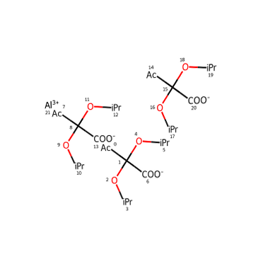 CC(=O)C(OC(C)C)(OC(C)C)C(=O)[O-].CC(=O)C(OC(C)C)(OC(C)C)C(=O)[O-].CC(=O)C(OC(C)C)(OC(C)C)C(=O)[O-].[Al+3]